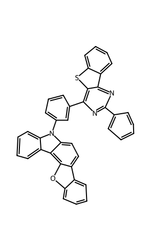 c1ccc(-c2nc(-c3cccc(-n4c5ccccc5c5c6oc7ccccc7c6ccc54)c3)c3sc4ccccc4c3n2)cc1